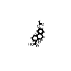 CC(=O)Oc1ccc2c(c1)[C@@]1(C)CCC[C@](C)(C(=O)O)[C@@H]1CC2